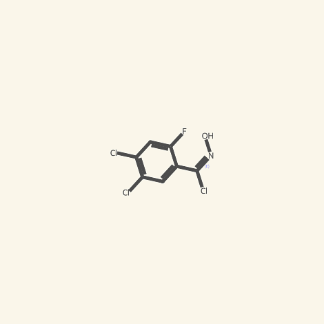 O/N=C(/Cl)c1cc(Cl)c(Cl)cc1F